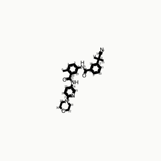 Cc1ccc(NC(=O)c2cccc(C(C)(C)C#N)c2)cc1C(=O)Nc1ccc(N2CCOCC2)nc1